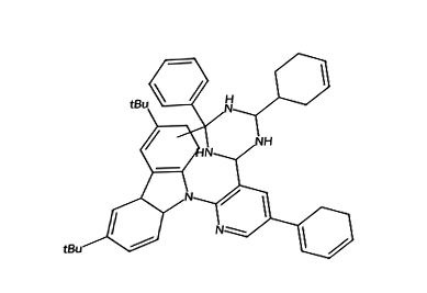 CC(C)(C)C1=CC2C3=C(CCC(C(C)(C)C)=C3)N(c3ncc(C4=CC=CCC4)cc3C3NC(C4CC=CCC4)NC(C)(c4ccccc4)N3)C2C=C1